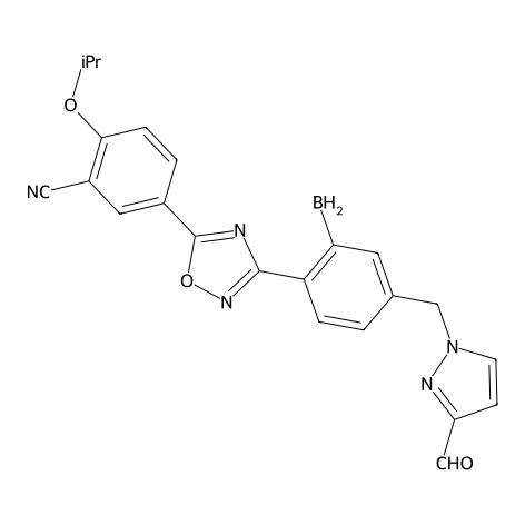 Bc1cc(Cn2ccc(C=O)n2)ccc1-c1noc(-c2ccc(OC(C)C)c(C#N)c2)n1